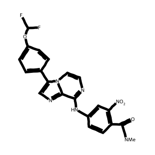 CNC(=O)c1ccc(Nc2nccn3c(-c4ccc(OC(F)F)cc4)cnc23)cc1[N+](=O)[O-]